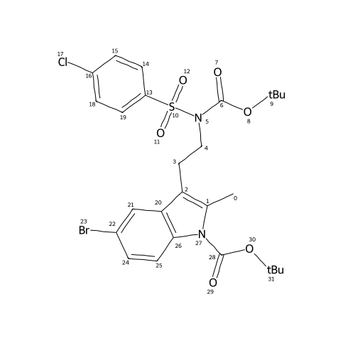 Cc1c(CCN(C(=O)OC(C)(C)C)S(=O)(=O)c2ccc(Cl)cc2)c2cc(Br)ccc2n1C(=O)OC(C)(C)C